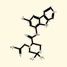 CC1(C)CN(CC(N)=O)C(C(=O)Nc2cc(Cl)cc3c2[nH]c2cnccc23)CO1